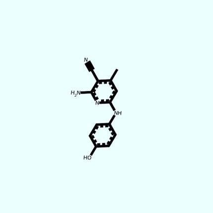 Cc1cc(Nc2ccc(O)cc2)nc(N)c1C#N